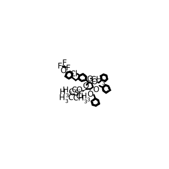 CO[C@@]1(c2ccc(Cl)c(Cc3ccc(OC(F)(F)F)cc3)c2)O[C@H](CO[Si](C)(C)C(C)(C)C)[C@@H](OCc2ccccc2)C(OCc2ccccc2)[C@H]1OCc1ccccc1